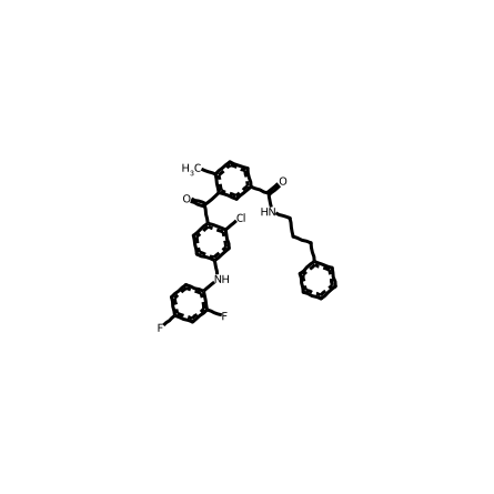 Cc1ccc(C(=O)NCCCc2ccccc2)cc1C(=O)c1ccc(Nc2ccc(F)cc2F)cc1Cl